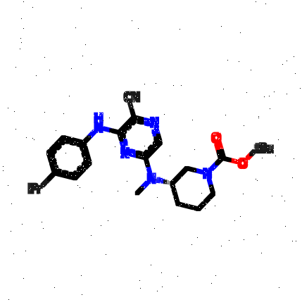 CC(C)c1ccc(Nc2nc(N(C)[C@H]3CCCN(C(=O)OC(C)(C)C)C3)cnc2C#N)cc1